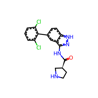 O=C(Nc1n[nH]c2ccc(-c3c(Cl)cccc3Cl)cc12)[C@H]1CCNC1